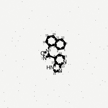 c1ccc2c(-n3onc3-c3ccnc4nc[nH]c34)cccc2c1